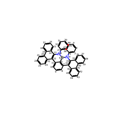 c1ccc(N2B3c4c(cccc4-c4c(c5ccccc5c5ccccc45)N3c3ccccc3)-c3c2c2ccccc2c2ccccc32)cc1